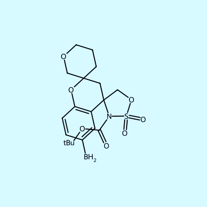 Bc1ccc2c(c1)C1(COS(=O)(=O)N1C(=O)OC(C)(C)C)CC1(CCCOC1)O2